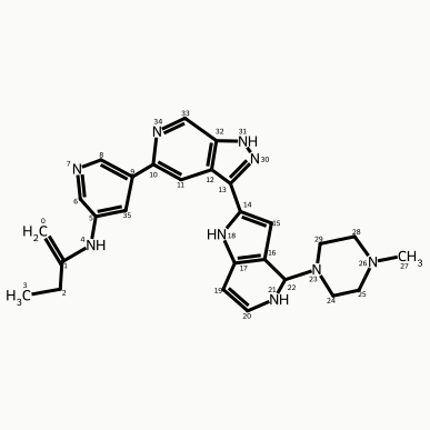 C=C(CC)Nc1cncc(-c2cc3c(-c4cc5c([nH]4)C=CNC5N4CCN(C)CC4)n[nH]c3cn2)c1